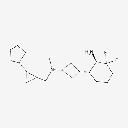 CN(CC1CC1C1CCCC1)C1CN([C@H]2CCCC(F)(F)[C@@H]2N)C1